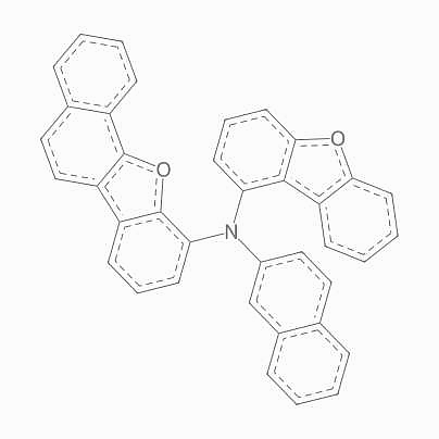 c1ccc2cc(N(c3cccc4c3oc3c5ccccc5ccc43)c3cccc4oc5ccccc5c34)ccc2c1